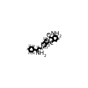 Nc1cccc(C(F)(F)F)c1C(=O)N1CC2CN(CC[C@H](N)c3ccccc3)CC2C1